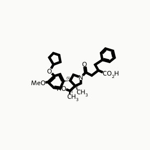 COc1ccc([C@@H]2CN(C(=O)CC(Cc3ccccc3)C(=O)O)C[C@@]2(C)[C@@H](C)O)cc1OC1CCCC1